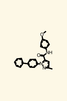 COc1ccc(NC(=O)c2cc(C)nn2-c2ccc(-c3ccccc3)cc2)cc1